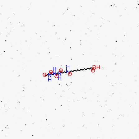 O=CCNC(=O)CNC(=O)CNC(=O)CCCNC(=O)CCCCCCCCCCCCCC(=O)O